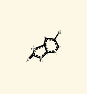 CCc1cnc2[nH]c(=O)[nH]c2c1